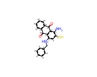 Nc1c(S)cc(NCc2ccccc2)c2c1C(=O)c1ccccc1C2=O